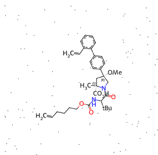 C=CCCCCOC(=O)NC(C(=O)N1C[C@](OC)(c2ccc(-c3ccccc3C=C)cc2)C[C@@]1(C)C(=O)O)C(C)(C)C